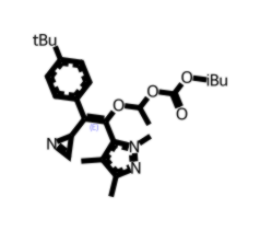 CCC(C)OC(=O)OC(C)O/C(=C(\c1ccc(C(C)(C)C)cc1)C1C=N1)c1c(C)c(C)nn1C